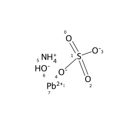 O=S(=O)([O-])[O-].[NH4+].[OH-].[Pb+2]